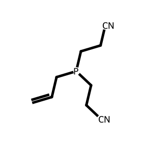 C=CCP(CCC#N)CCC#N